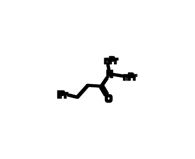 CCCN(CCC)C(=O)CCC(C)C